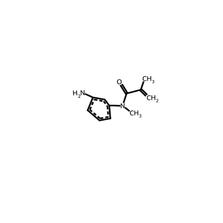 C=C(C)C(=O)N(C)c1cccc(N)c1